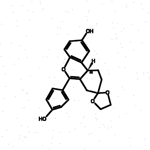 Oc1ccc(C2=C3CC4(CC[C@@H]3c3cc(O)ccc3O2)OCCO4)cc1